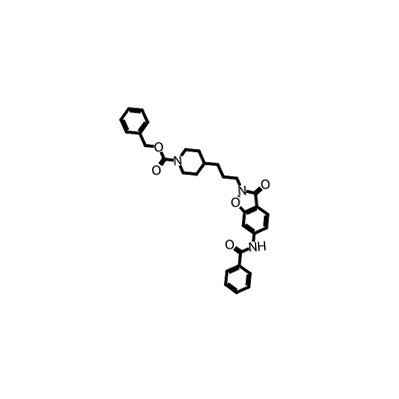 O=C(Nc1ccc2c(=O)n(CCCC3CCN(C(=O)OCc4ccccc4)CC3)oc2c1)c1ccccc1